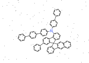 c1ccc(-c2ccc(-c3ccc(N(c4ccc(-c5ccccc5)cc4)c4cccc5c4-c4ccc(-c6ccccc6)cc4C54c5ccccc5-c5cc6ccccc6cc54)cc3)cc2)cc1